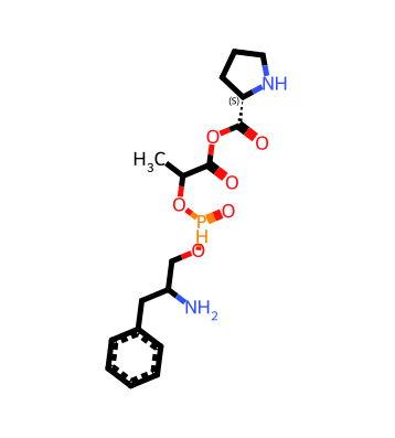 CC(O[PH](=O)OCC(N)Cc1ccccc1)C(=O)OC(=O)[C@@H]1CCCN1